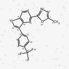 Cc1nnc(-c2ccc3occ(-c4ccc(C(F)(F)F)cc4)c3c2)o1